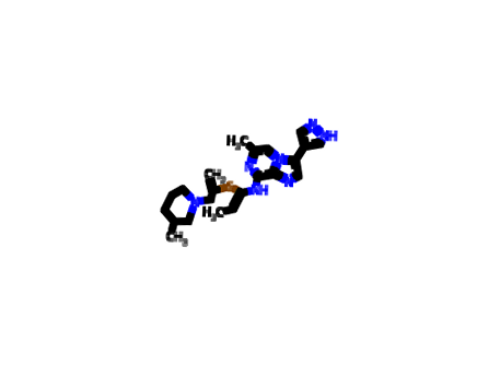 C=C(CN1CCCC(C)C1)S/C(=C\C)Nc1nc(C)cn2c(-c3cn[nH]c3)cnc12